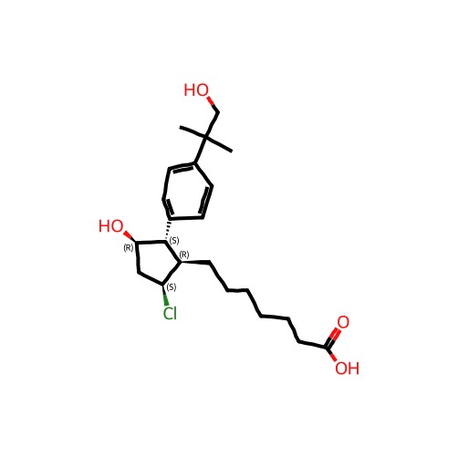 CC(C)(CO)c1ccc([C@@H]2[C@@H](CCCCCCC(=O)O)[C@@H](Cl)C[C@H]2O)cc1